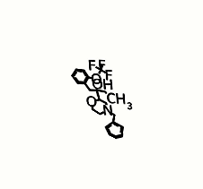 CCC(O)(Cc1ccccc1OC(F)(F)F)C1CN(Cc2ccccc2)CCO1